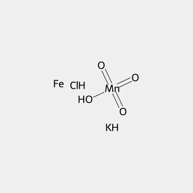 Cl.[Fe].[KH].[O]=[Mn](=[O])(=[O])[OH]